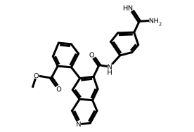 COC(=O)c1ccccc1-c1cc2cnccc2cc1C(=O)Nc1ccc(C(=N)N)cc1